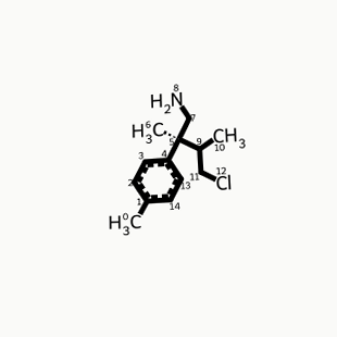 Cc1ccc([C@@](C)(CN)C(C)CCl)cc1